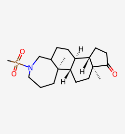 C[C@]12CCCN(S(C)(=O)=O)CC1CC[C@@H]1[C@@H]2CC[C@]2(C)C(=O)CC[C@@H]12